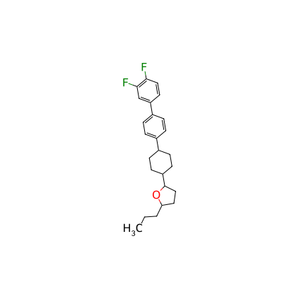 CCCC1CCC(C2CCC(c3ccc(-c4ccc(F)c(F)c4)cc3)CC2)O1